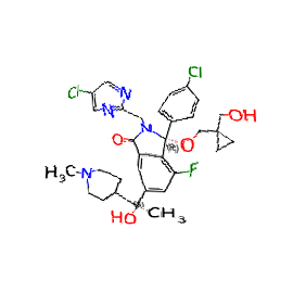 CN1CCC([C@](C)(O)c2cc(F)c3c(c2)C(=O)N(Cc2ncc(Cl)cn2)[C@@]3(OCC2(CO)CC2)c2ccc(Cl)cc2)CC1